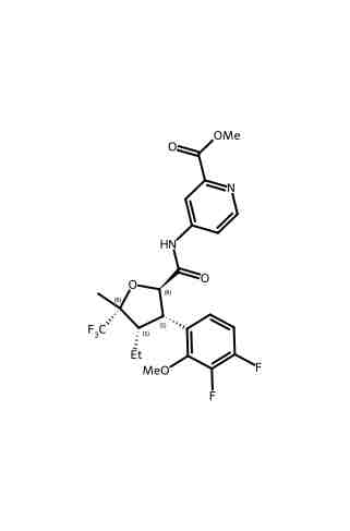 CC[C@H]1[C@@H](c2ccc(F)c(F)c2OC)[C@H](C(=O)Nc2ccnc(C(=O)OC)c2)O[C@@]1(C)C(F)(F)F